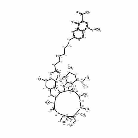 CCn1cc(C(=O)O)c(=O)c2cc(COCCNCCC(=O)O[C@H]3[C@H](C)OC(O[C@H]4C(C)[C@@H](OC5O[C@H](C)C[C@H](N(C)C)[C@H]5O)[C@](C)(O)C[C@@H](C)CN(C)[C@H](C)[C@@H](OC)[C@](C)(O)[C@@H](I)OC(=O)[C@@H]4C)C[C@@]3(C)OC)ccc21